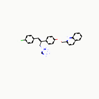 Clc1ccc(/C=C(\Cn2cnnn2)c2ccc(OCc3ccc4ccccc4n3)cc2)cc1